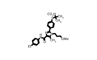 CCc1ccc(NC(=O)c2nc(-c3ccc(SC(C)(C)C(=O)O)cc3)n(CCCOC)c2C)cc1